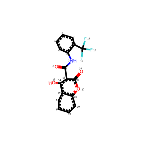 O=C(Nc1ccccc1C(F)(F)F)c1c(O)c2ccccc2oc1=O